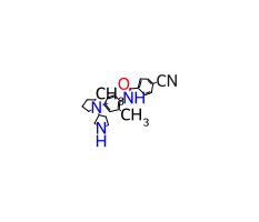 Cc1cc([N+]2(C3CCNC3)CCCC2C)ccc1NC(=O)c1ccc(C#N)cc1